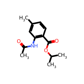 CC(=O)Nc1cc(C)ccc1C(=O)OC(C)C